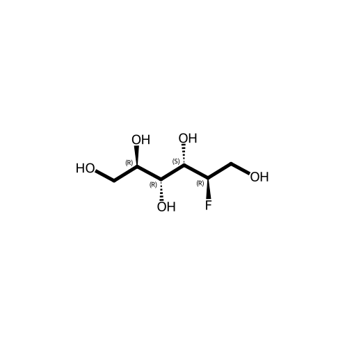 OC[C@@H](O)[C@@H](O)[C@H](O)[C@H](F)CO